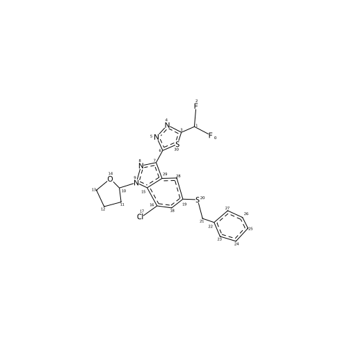 FC(F)c1nnc(-c2nn(C3CCCO3)c3c(Cl)cc(SCc4ccccc4)cc23)s1